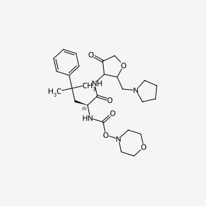 CC(C)(C[C@H](NC(=O)ON1CCOCC1)C(=O)NC1C(=O)COC1CN1CCCC1)c1ccccc1